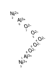 [Al+3].[Al+3].[Ni+2].[Ni+2].[O-2].[O-2].[O-2].[O-2].[O-2]